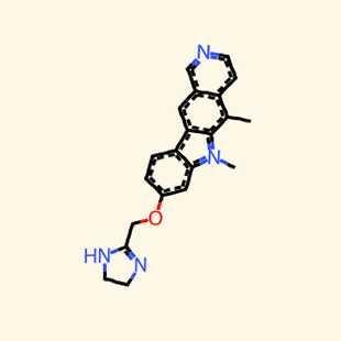 Cc1c2ccncc2cc2c3ccc(OCC4=NCCN4)cc3n(C)c12